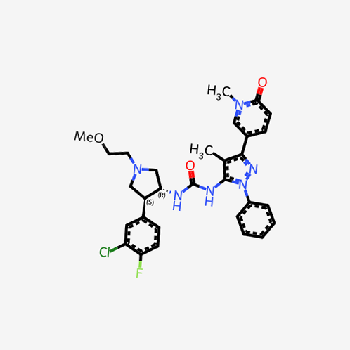 COCCN1C[C@H](NC(=O)Nc2c(C)c(-c3ccc(=O)n(C)c3)nn2-c2ccccc2)[C@@H](c2ccc(F)c(Cl)c2)C1